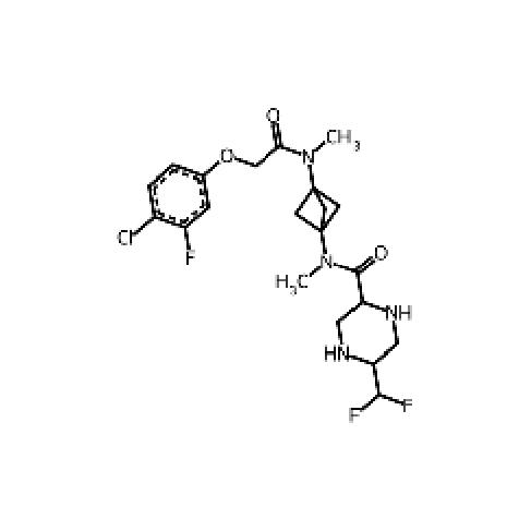 CN(C(=O)COc1ccc(Cl)c(F)c1)C12CC(N(C)C(=O)C3CNC(C(F)F)CN3)(C1)C2